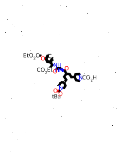 CCOC(=O)COc1cccc(C(CC(=O)OCC)NC(=O)CNC(=O)C(CCC2CCN(C(=O)O)CC2)CCC2CCN(C(=O)OC(C)(C)C)CC2)c1